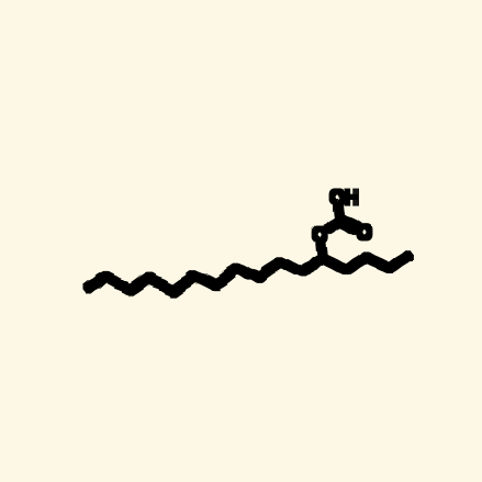 CCCCCCCCCCCC(CCCC)OC(=O)O